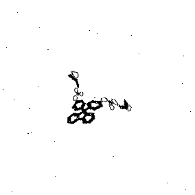 O=C(OCC1CO1)Oc1ccc(C2(c3ccc(OC(=O)OCC4CO4)cc3)c3ccccc3-c3ccccc32)cc1